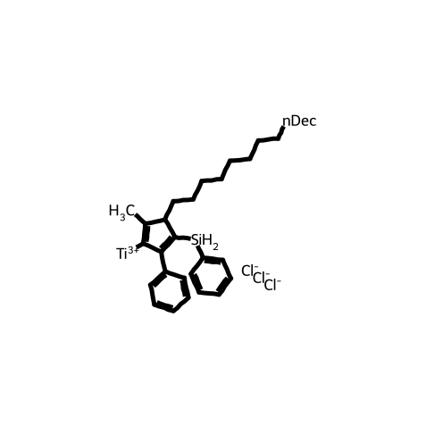 CCCCCCCCCCCCCCCCCCC1C(C)=[C]([Ti+3])C(c2ccccc2)=C1[SiH2]c1ccccc1.[Cl-].[Cl-].[Cl-]